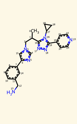 CC(Cn1cnc(-c2cccc(CN)c2)c1)c1nnc(-c2ccncc2)n1C1CC1